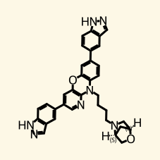 c1cc2c(cc1-c1ccc3[nH]ncc3c1)Oc1cc(-c3ccc4[nH]ncc4c3)cnc1N2CCCCN1C[C@@H]2C[C@H]1CO2